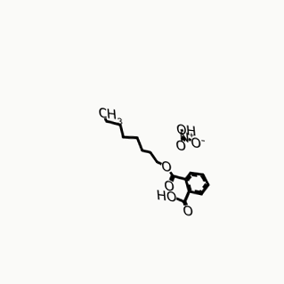 CCCCCCCCOC(=O)c1ccccc1C(=O)O.O=[N+]([O-])O